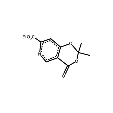 CCOC(=O)c1cc2c(cn1)C(=O)OC(C)(C)O2